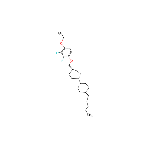 CCCCC[C@H]1CC[C@H]([C@H]2CC[C@H](COc3ccc(OCC)c(F)c3F)CC2)CC1